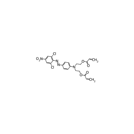 C=CC(=O)OCCN(CCOC(=O)C=C)c1ccc(N=Nc2c(Cl)cc([N+](=O)[O-])cc2Cl)cc1